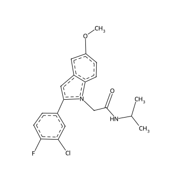 COc1ccc2c(c1)cc(-c1ccc(F)c(Cl)c1)n2CC(=O)NC(C)C